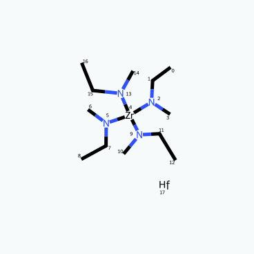 CC[N](C)[Zr]([N](C)CC)([N](C)CC)[N](C)CC.[Hf]